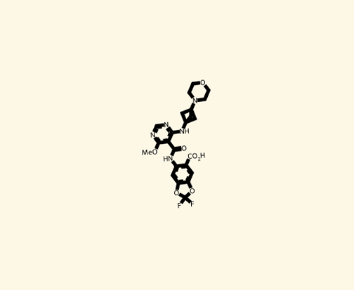 COc1ncnc(NC23CC(N4CCOCC4)(C2)C3)c1C(=O)Nc1cc2c(cc1C(=O)O)OC(F)(F)O2